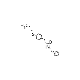 CCCCSc1ccc(CCC(=O)NCCn2cccc2)cc1